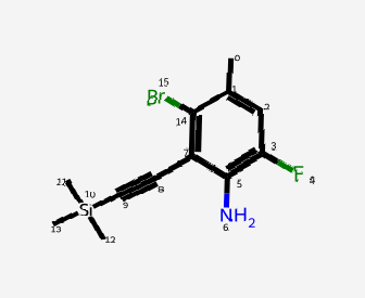 Cc1cc(F)c(N)c(C#C[Si](C)(C)C)c1Br